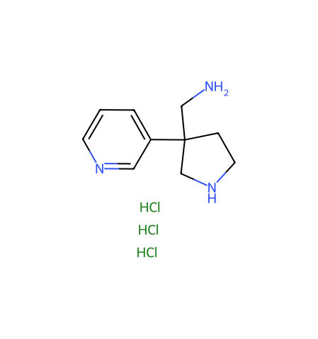 Cl.Cl.Cl.NCC1(c2cccnc2)CCNC1